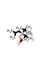 CC(C)C[Si](O[C]=O)(C(C)(C)C)C(C)(C)C